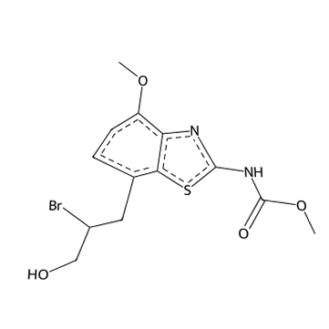 COC(=O)Nc1nc2c(OC)ccc(CC(Br)CO)c2s1